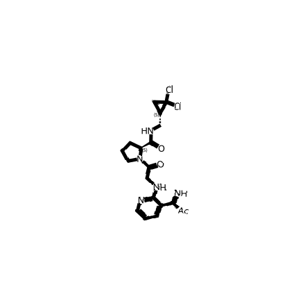 CC(=O)C(=N)c1cccnc1NCC(=O)N1CCC[C@H]1C(=O)NC[C@@H]1CC1(Cl)Cl